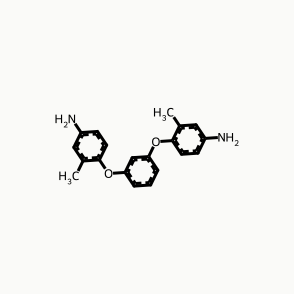 Cc1cc(N)ccc1Oc1cccc(Oc2ccc(N)cc2C)c1